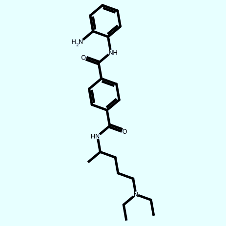 CCN(CC)CCCC(C)NC(=O)c1ccc(C(=O)Nc2ccccc2N)cc1